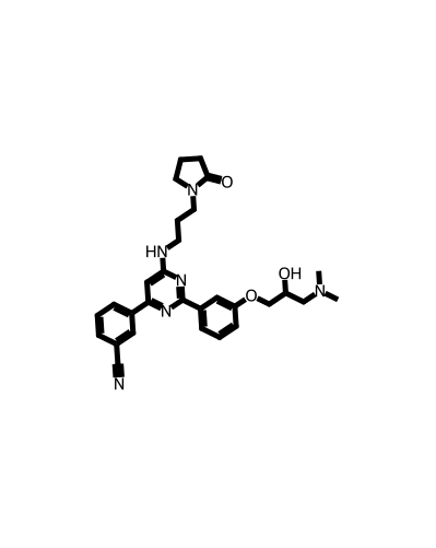 CN(C)CC(O)COc1cccc(-c2nc(NCCCN3CCCC3=O)cc(-c3cccc(C#N)c3)n2)c1